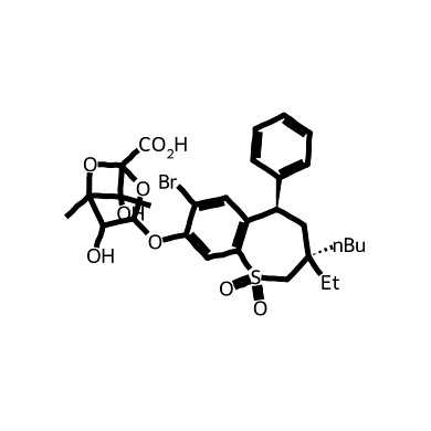 CCCC[C@@]1(CC)C[C@H](c2ccccc2)c2cc(Br)c(OC3OC4(C(=O)O)OC(C)(C3O)C4(C)O)cc2S(=O)(=O)C1